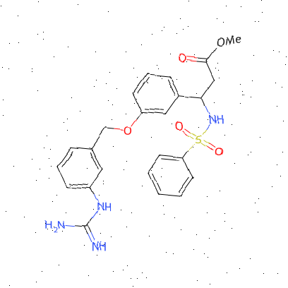 COC(=O)CC(NS(=O)(=O)c1ccccc1)c1cccc(OCc2cccc(NC(=N)N)c2)c1